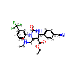 CCOC(=O)C1=C(CN(CC)CC)N(c2cccc(C(F)(F)F)c2)C(=O)NC1c1ccc(C#N)cc1